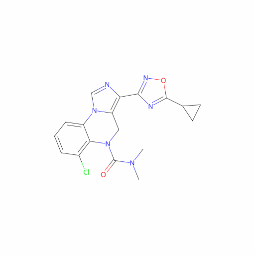 CN(C)C(=O)N1Cc2c(-c3noc(C4CC4)n3)ncn2-c2cccc(Cl)c21